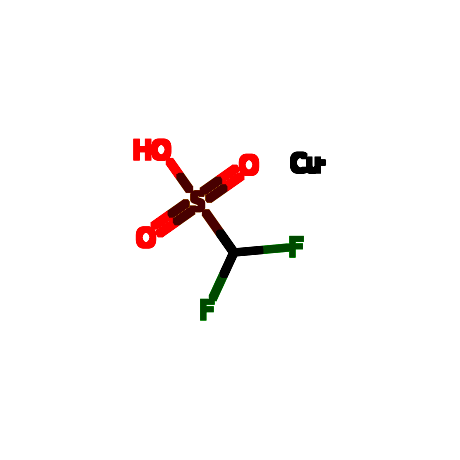 O=S(=O)(O)C(F)F.[Cu]